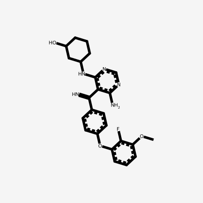 COc1cccc(Oc2ccc(C(=N)c3c(N)ncnc3NC3CCCC(O)C3)cc2)c1F